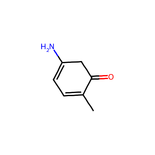 CC1=CC=C(N)CC1=O